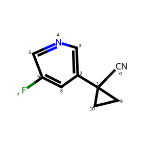 N#CC1(c2cncc(F)c2)CC1